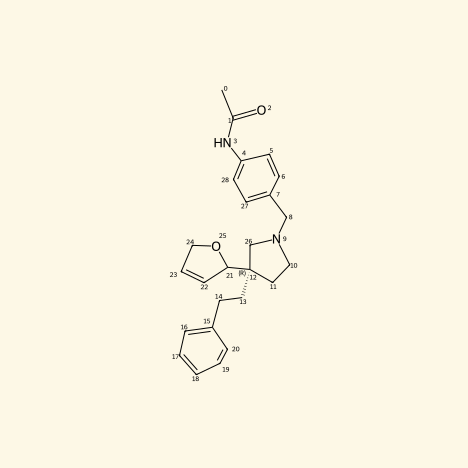 CC(=O)Nc1ccc(CN2CC[C@@](CCc3ccccc3)(C3C=CCO3)C2)cc1